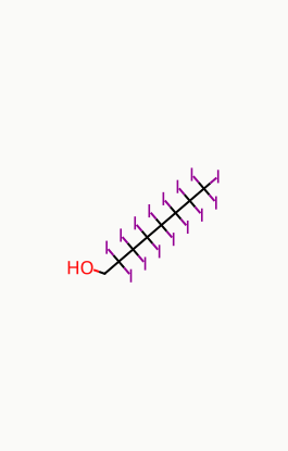 OCC(I)(I)C(I)(I)C(I)(I)C(I)(I)C(I)(I)C(I)(I)C(I)(I)I